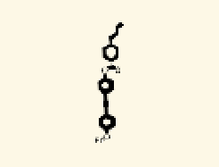 C=CCC[C@H]1CC[C@H](C(=O)Oc2ccc(C#Cc3ccc(OCC)cc3)cc2)CC1